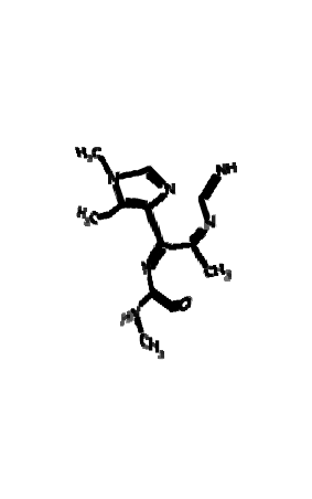 CNC(=O)/N=C(\C(C)=N/C=N)c1ncn(C)c1C